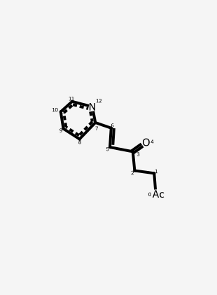 CC(=O)CCC(=O)/C=C/c1ccccn1